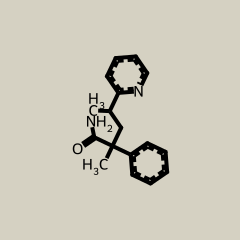 CC(CC(C)(C(N)=O)c1ccccc1)c1ccccn1